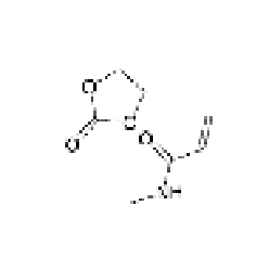 C=CC(=O)NC.O=C1OCCO1